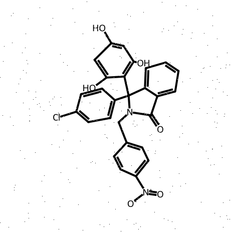 O=C1c2ccccc2C(c2ccc(Cl)cc2)(c2c(O)cc(O)cc2O)N1Cc1ccc([N+](=O)[O-])cc1